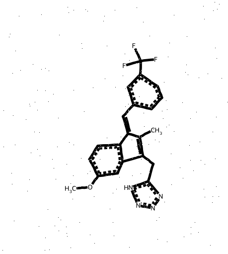 COc1ccc2c(c1)C(Cc1nnn[nH]1)=C(C)C2=Cc1cccc(C(F)(F)F)c1